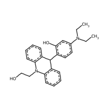 CCN(CC)c1ccc(C2c3ccccc3N(CCO)c3ccccc32)c(O)c1